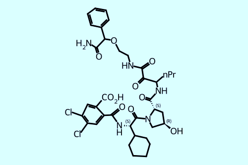 CCCC(NC(=O)[C@@H]1C[C@@H](O)CN1C(=O)[C@@H](NC(=O)c1cc(Cl)c(Cl)cc1C(=O)O)C1CCCCC1)C(=O)C(=O)NCCOC(C(N)=O)c1ccccc1